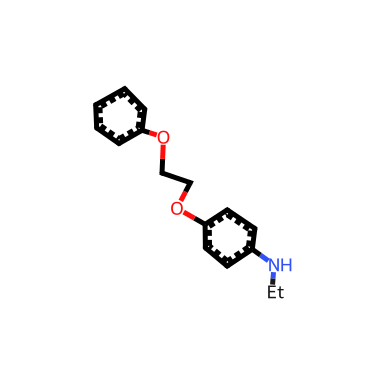 CCNc1ccc(OCCOc2ccccc2)cc1